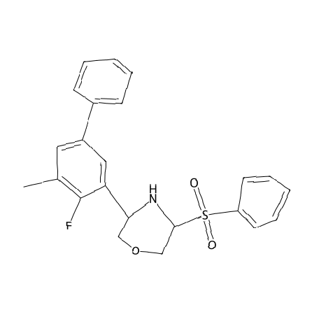 Cc1cc(-c2ccccc2)cc(C2COCC(S(=O)(=O)c3ccccc3)N2)c1F